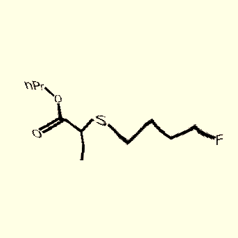 CCCOC(=O)C(C)SCCCCF